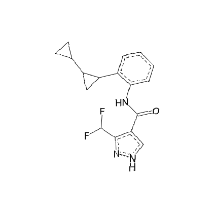 O=C(Nc1ccccc1C1CC1C1CC1)c1c[nH]nc1C(F)F